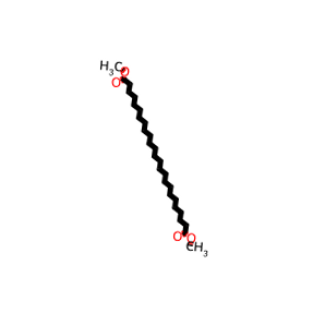 COC(=O)CCCCCCCCCCCCCCCCCCCCCCCC(=O)OC